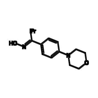 CC(C)C(=NO)c1ccc(N2CCOCC2)cc1